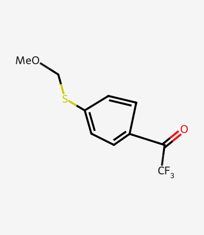 COCSc1ccc(C(=O)C(F)(F)F)cc1